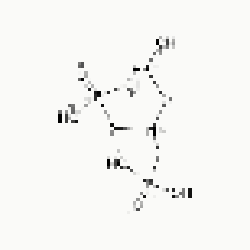 O=P(O)(O)CN(CPO)CP(=O)(O)O